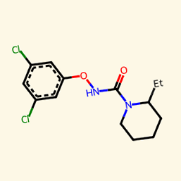 CCC1CCCCN1C(=O)NOc1cc(Cl)cc(Cl)c1